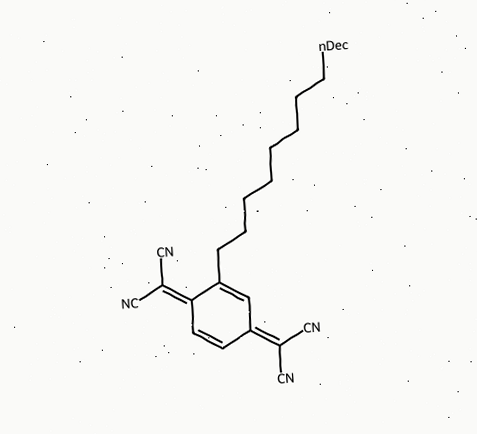 CCCCCCCCCCCCCCCCCCc1cc(=C(C#N)C#N)ccc1=C(C#N)C#N